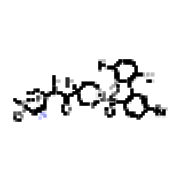 C[C@H](/C=C\S(C)(=O)=O)NC(=O)C1(F)CCN(S(=O)(=O)c2ccc(Br)cc2-c2cc(F)ccc2Cl)CC1